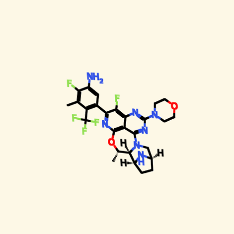 Cc1c(F)c(N)cc(-c2nc3c4c(nc(N5CCOCC5)nc4c2F)N2C[C@H]4CC[C@H](N4)[C@H]2[C@H](C)O3)c1C(F)(F)F